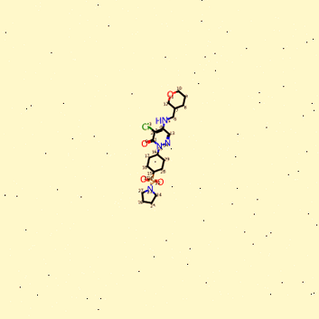 O=c1c(Cl)c(NCC2CCCOC2)cnn1C1CCC(S(=O)(=O)N2CCCC2)CC1